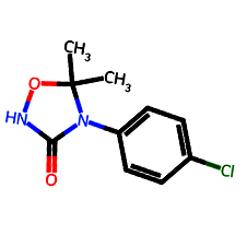 CC1(C)ONC(=O)N1c1ccc(Cl)cc1